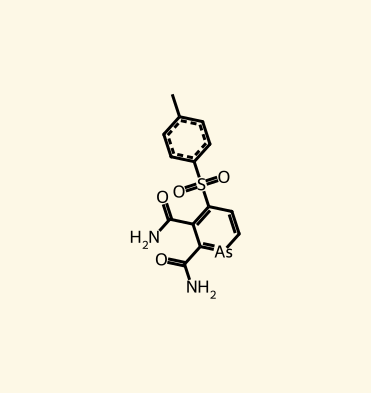 Cc1ccc(S(=O)(=O)C2=C(C(N)=O)C(C(N)=O)=[As]C=C2)cc1